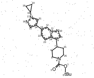 CC(C)(C)OC(=O)N1CCC(c2cnn3cc(-c4cnn(C5CC5)c4)ccc23)CC1